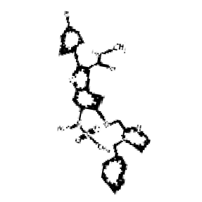 CNC(=O)c1c(-c2ccc(F)cc2)oc2cc(N(C)S(C)(=O)=O)c(OCc3nccn3Cc3ccccc3)cc12